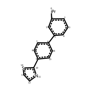 CC(C)c1cccc(-c2ccc(-c3nccs3)cc2)c1